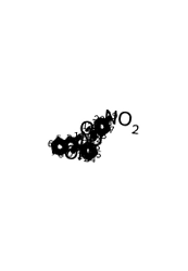 O=C(C(=Cc1ccccc1)CNS(=O)(=O)c1ccc([N+](=O)[O-])cc1)c1ccccc1